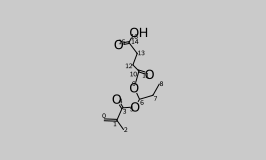 C=C(C)C(=O)OC(CC)OC(=O)CCC(=O)O